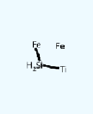 [Fe].[Ti][SiH2][Fe]